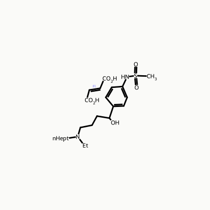 CCCCCCCN(CC)CCCC(O)c1ccc(NS(C)(=O)=O)cc1.O=C(O)/C=C/C(=O)O